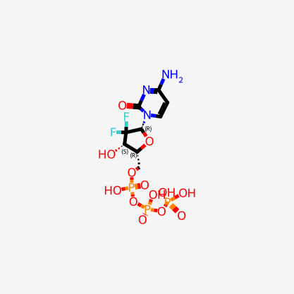 Nc1ccn([C@@H]2O[C@H](COP(=O)(O)OP(=O)(O)OP(=O)(O)O)[C@H](O)C2(F)F)c(=O)n1